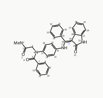 CNC(=O)CN(C(=O)c1ccccc1)c1ccc(N/C(=C2\C(=O)Nc3ccccc32)c2ccccc2)cc1